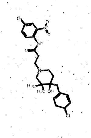 CC1(C)CN(CCC(=O)Nc2ccc(Cl)cc2[N+](=O)[O-])CCC1(O)CC1=CCC(Cl)C=C1